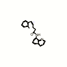 Cc1ccccc1/C=C\CCC(=O)Nc1cccc2cccnc12